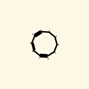 C1#CCCCCC#CC=C1